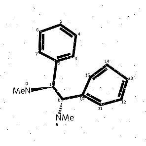 CN[C@@H](c1ccccc1)[C@@H](NC)c1ccccc1